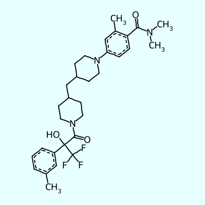 Cc1cccc(C(O)(C(=O)N2CCC(CC3CCN(c4ccc(C(=O)N(C)C)c(C)c4)CC3)CC2)C(F)(F)F)c1